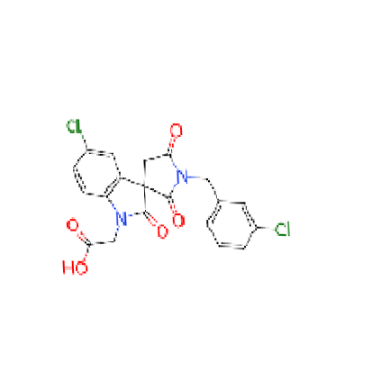 O=C(O)CN1C(=O)C2(CC(=O)N(Cc3cccc(Cl)c3)C2=O)c2cc(Cl)ccc21